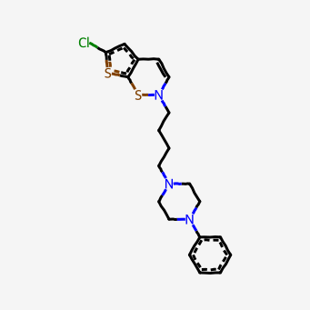 Clc1cc2c(s1)SN(CCCCN1CCN(c3ccccc3)CC1)C=C2